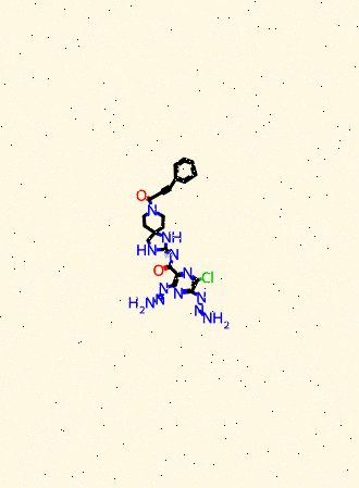 NN=Nc1nc(N=NN)c(C(=O)/N=C2\NCC3(CCN(C(=O)C#Cc4ccccc4)CC3)N2)nc1Cl